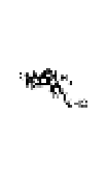 Cc1cc(CCC=O)ncc1-c1cc2cnc(Cl)cc2c2scnc12